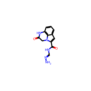 NN=CNC(=O)c1cc2cccc3c2n1CC(=O)N3